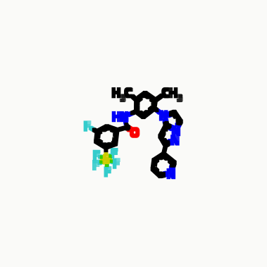 Cc1cc(C)c(-n2ccn3nc(-c4cccnc4)cc23)cc1NC(=O)c1cc(F)cc(S(F)(F)(F)(F)F)c1